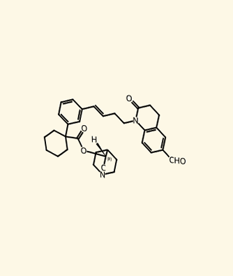 O=Cc1ccc2c(c1)CCC(=O)N2CCC=Cc1cccc(C2(C(=O)O[C@H]3CN4CCC3CC4)CCCCC2)c1